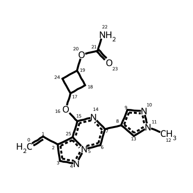 C=Cc1cnn2cc(-c3cnn(C)c3)nc(OC3CC(OC(N)=O)C3)c12